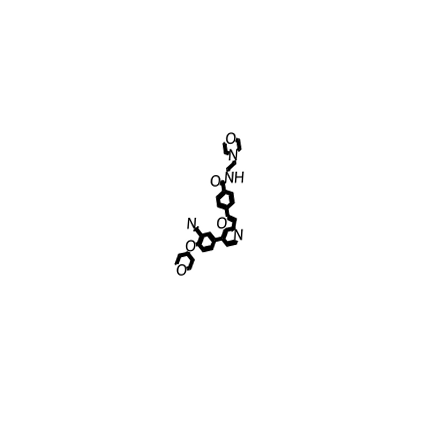 N#Cc1cc(-c2ccnc3cc(-c4ccc(C(=O)NCCN5CCOCC5)cc4)oc23)ccc1OC1CCOCC1